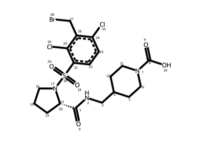 O=C(NCC1CCN(C(=O)O)CC1)[C@@H]1CCCN1S(=O)(=O)c1ccc(Cl)c(CBr)c1Cl